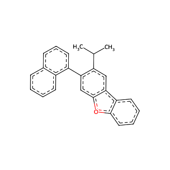 CC(C)c1cc2c(cc1-c1cccc3ccccc13)oc1ccccc12